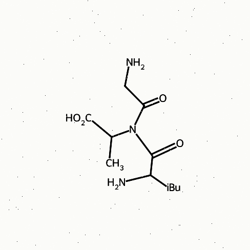 CCC(C)C(N)C(=O)N(C(=O)CN)C(C)C(=O)O